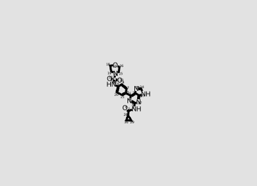 O=C(Nc1nc(-c2ccc(NS(=O)(=O)N3CCOCC3)cc2)c2nc[nH]c2n1)C1CC1